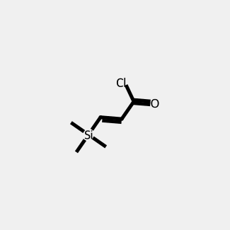 C[Si](C)(C)/C=C/C(=O)Cl